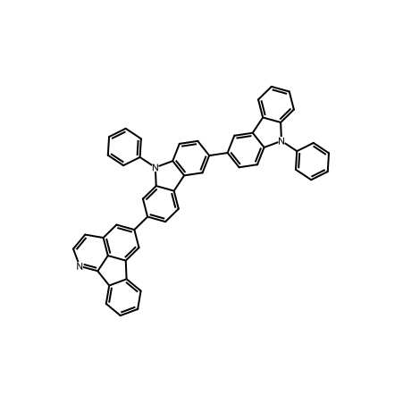 c1ccc(-n2c3ccccc3c3cc(-c4ccc5c(c4)c4ccc(-c6cc7c8c(nccc8c6)-c6ccccc6-7)cc4n5-c4ccccc4)ccc32)cc1